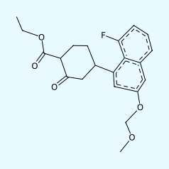 CCOC(=O)C1CCC(c2cc(OCOC)cc3cccc(F)c23)CC1=O